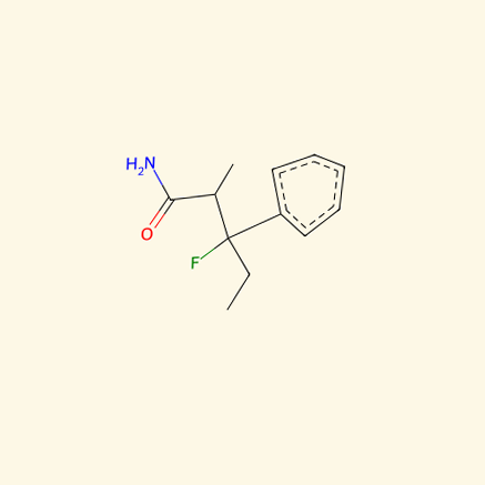 CCC(F)(c1ccccc1)C(C)C(N)=O